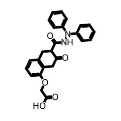 O=C(O)COc1cccc2c1CC(=O)C(C(=O)NN(c1ccccc1)c1ccccc1)C2